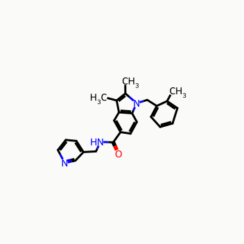 Cc1ccccc1Cn1c(C)c(C)c2cc(C(=O)NCc3cccnc3)ccc21